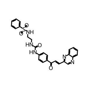 O=C(NCCNS(=O)(=O)c1ccccc1)Nc1ccc(C(=O)C=Cc2cnc3ccccc3n2)cc1